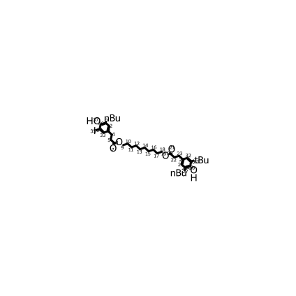 CCCCc1cc(CCC(=O)OCCCCCCCCCCOC(=O)CCc2cc(CCCC)c(O)c(C(C)(C)C)c2)cc(I)c1O